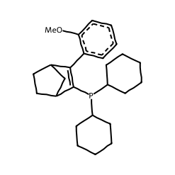 COc1ccccc1C1=C(P(C2CCCCC2)C2CCCCC2)C2CCC1C2